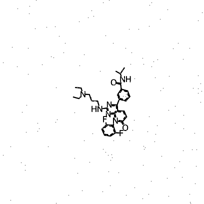 CCN(CC)CCCNc1nc(-c2cccc(C(=O)NC(C)C)c2)c2ccc(=O)n(-c3c(F)cccc3F)c2n1